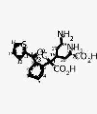 CC(C(=O)O)(c1ccccc1C(=O)c1cccs1)C(CCN)C[C@H](N)C(=O)O